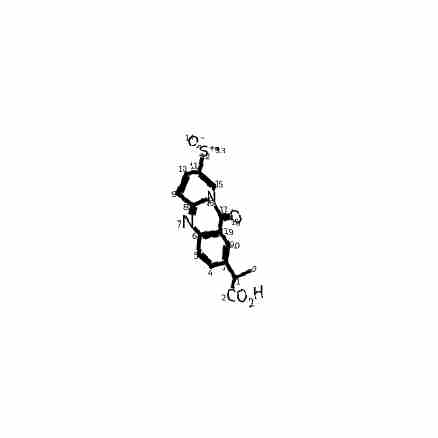 CC(C(=O)O)c1ccc2nc3ccc([S+](C)[O-])cn3c(=O)c2c1